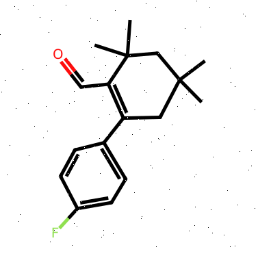 CC1(C)CC(c2ccc(F)cc2)=C(C=O)C(C)(C)C1